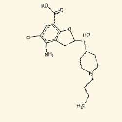 CCCCN1CCC(CC2Cc3c(N)c(Cl)cc(C(=O)O)c3O2)CC1.Cl